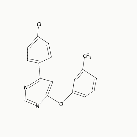 FC(F)(F)c1cccc(Oc2cc(-c3ccc(Cl)cc3)ncn2)c1